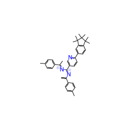 C=C(/N=C(\N=C(/C)c1ccc(C)cc1)c1ccc(-c2ccc3c(c2)C(C)(C)C(C)(C)C3(C)C)nc1)c1ccc(C)cc1